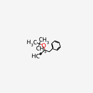 C#CC(Cc1ccccc1)OC(C)(C)C